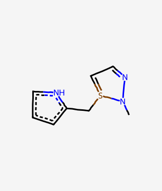 CN1N=CC=S1Cc1ccc[nH]1